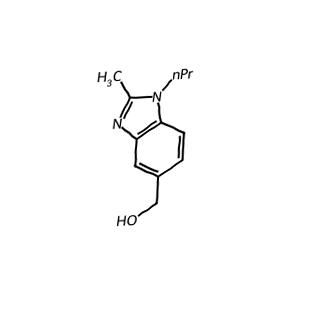 CCCn1c(C)nc2cc(CO)ccc21